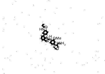 C=CC(=O)Nc1cccc(-c2cccc3cnc(Nc4ccc(N5CCOCC5CN)cc4OC)nc23)c1